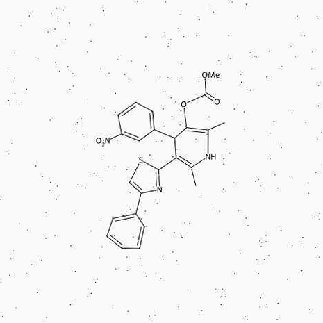 COC(=O)OC1=C(C)NC(C)=C(c2nc(-c3ccccc3)cs2)C1c1cccc([N+](=O)[O-])c1